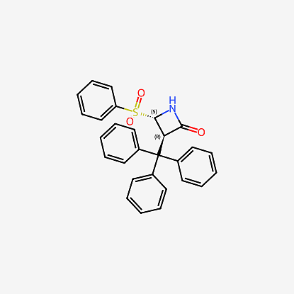 O=C1N[C@@H](S(=O)(=O)c2ccccc2)[C@@H]1C(c1ccccc1)(c1ccccc1)c1ccccc1